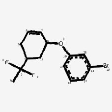 CC(F)(F)C1CC=CC(Oc2cccc(Br)c2)C1